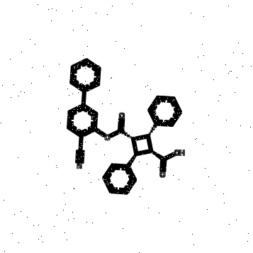 N#Cc1ccc(-c2ccccc2)cc1OC(=O)[C@H]1[C@H](c2ccccc2)[C@H](C(=O)O)[C@H]1c1ccccc1